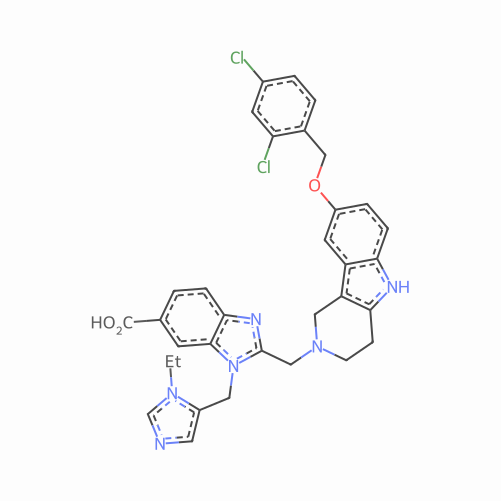 CCn1cncc1Cn1c(CN2CCc3[nH]c4ccc(OCc5ccc(Cl)cc5Cl)cc4c3C2)nc2ccc(C(=O)O)cc21